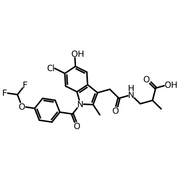 Cc1c(CC(=O)NCC(C)C(=O)O)c2cc(O)c(Cl)cc2n1C(=O)c1ccc(OC(F)F)cc1